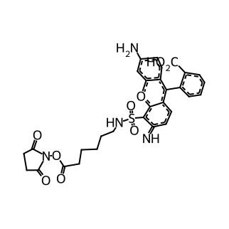 N=c1ccc2c(-c3ccccc3C(=O)O)c3ccc(N)cc3oc-2c1S(=O)(=O)NCCCCCC(=O)ON1C(=O)CCC1=O